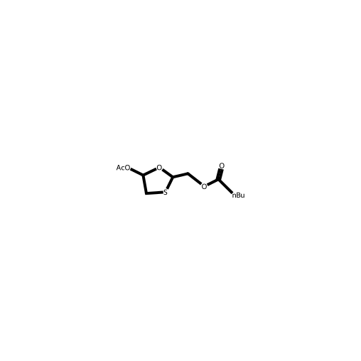 CCCCC(=O)OCC1OC(OC(C)=O)CS1